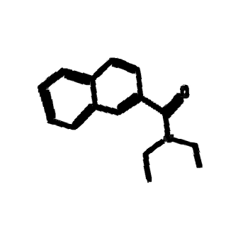 CCN(CC)C(=O)c1ccc2ccccc2c1